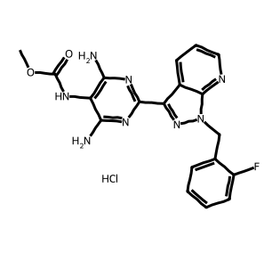 COC(=O)Nc1c(N)nc(-c2nn(Cc3ccccc3F)c3ncccc23)nc1N.Cl